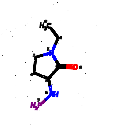 CCN1CCC(NP)C1=O